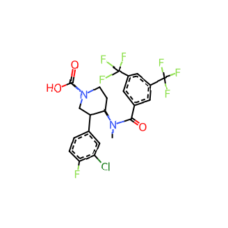 CN(C(=O)c1cc(C(F)(F)F)cc(C(F)(F)F)c1)C1CCN(C(=O)O)CC1c1ccc(F)c(Cl)c1